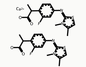 Cc1csc(=Nc2ccc(C(C)C(=O)[O-])c(F)c2)n1C.Cc1csc(=Nc2ccc(C(C)C(=O)[O-])c(F)c2)n1C.[Ca+2]